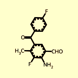 Cc1c(C(=O)c2ccc(F)cc2)cc(C=O)c(N)c1F